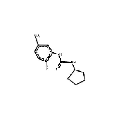 O=C(Nc1cc([N+](=O)[O-])ccc1F)NC1CCCC1